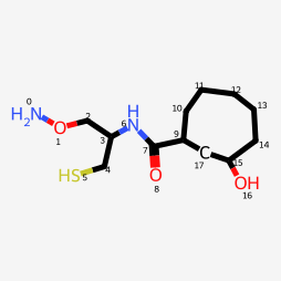 NOCC(CS)NC(=O)C1CCCCCC(O)C1